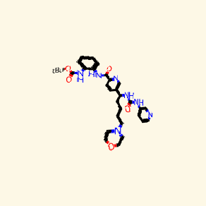 CC(C)(C)OC(=O)Nc1ccccc1NC(=O)c1ccc(C(CCCCN2CCOCC2)NC(=O)Nc2cccnc2)cn1